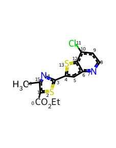 CCOC(=O)c1sc(-c2cc3nccc(Cl)c3s2)nc1C